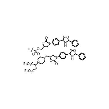 CCOC(=O)CC(C(=O)OCC)N1CCN(CC2CN(c3ccc(C4=NOC(c5ccccc5)N4)cc3)C(=O)O2)CC1.CS(=O)(=O)OCC1CN(c2ccc(C3=NOC(c4ccccc4)N3)cc2)C(=O)O1